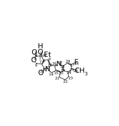 CC[C@@]1(O)C(=O)OCc2c1cc1n(c2=O)Cc2c-1nc1c3c2CCCC3C(C)C(F)=C1